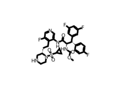 COC(=O)N[C@H](C(=O)Nc1cncc(F)c1CC[C@H]1CNCCN1S(=O)(=O)C1CC1)[C@@H](c1ccc(F)cc1)c1cc(F)cc(F)c1